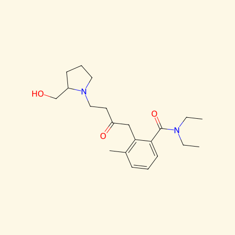 CCN(CC)C(=O)c1cccc(C)c1CC(=O)CCN1CCCC1CO